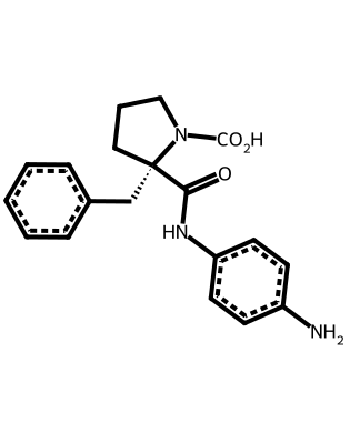 Nc1ccc(NC(=O)[C@@]2(Cc3ccccc3)CCCN2C(=O)O)cc1